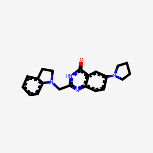 O=c1[nH]c(CN2CCc3ccccc32)nc2ccc(N3CCCC3)cc12